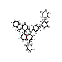 CC1(C)c2ccccc2-c2ccc(N(c3ccc(-c4cccc(C5CCCCC5)c4)cc3)c3ccc(C4CC5CCC4C5)cc3)c(-c3ccccc3)c21